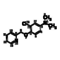 CN(C)c1ccc(OCc2ccccn2)c(Cl)c1